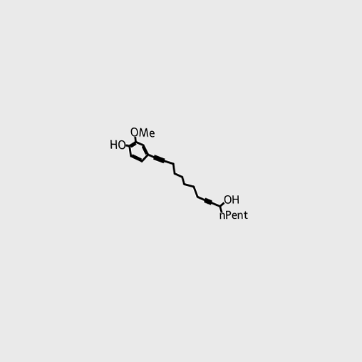 CCCCCC(O)C#CCCCCCCC#Cc1ccc(O)c(OC)c1